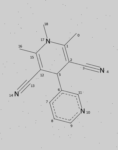 CC1=C(C#N)C(c2cccnc2)C(C#N)=C(C)N1C